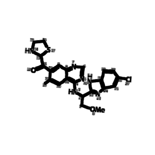 COCC(Nc1ncnc2cc(C(=O)C3NCCS3)c(C)cc12)c1nc2cc(Cl)ccc2[nH]1